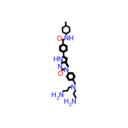 CC1CCC(NC(=O)c2ccc(-c3cc4cn(-c5ccc(CN(CCCN)CCCN)cc5)c(=O)nc4[nH]3)cc2)CC1